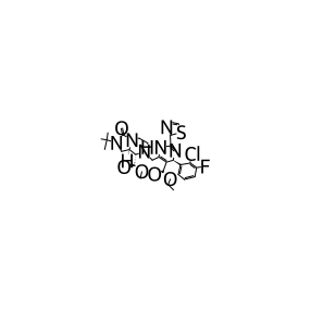 CCOC(=O)C1=C(CN2CCN3C(=O)N(C(C)(C)C)C[C@@H]3[C@H]2C(=O)OC)NC(c2nccs2)=N[C@H]1c1cccc(F)c1Cl